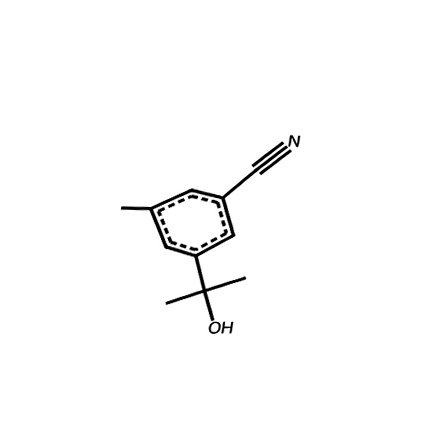 Cc1cc(C#N)cc(C(C)(C)O)c1